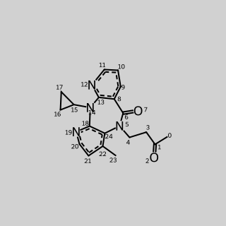 CC(=O)CCN1C(=O)c2cccnc2N(C2CC2)c2nccc(C)c21